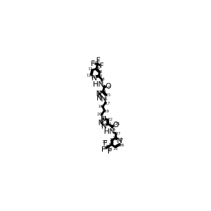 O=C(NCc1cc(C(F)(F)F)ccn1)c1cn(CCCCn2cc(C(=O)NCc3cc(C(F)(F)F)ccn3)nn2)nn1